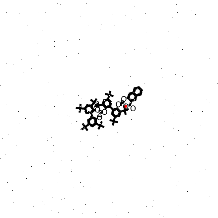 CC(C)(C)c1cc(-c2cc(C(C)(C)C)cc(C(C)(C)C)c2Op2oc3c(C(C)(C)C)cc(C(C)(C)C)cc3c3cc(C(C)(C)C)cc(C(C)(C)C)c3o2)c(OP2OC(=O)c3cc4ccccc4cc3O2)c(C(C)(C)C)c1